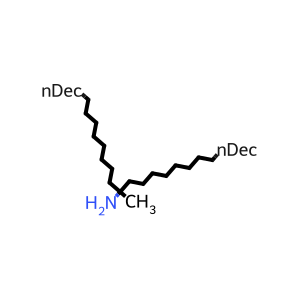 CCCCCCCCCCCCCCCCCCC(C)(N)CCCCCCCCCCCCCCCCCC